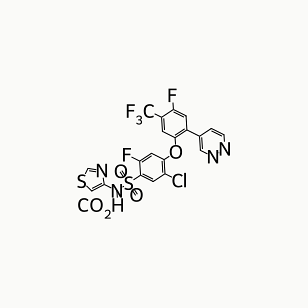 O=C(O)N(c1cscn1)S(=O)(=O)c1cc(Cl)c(Oc2cc(C(F)(F)F)c(F)cc2-c2ccnnc2)cc1F